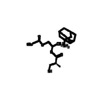 C[C@H](CS)C(=O)OC(COC(=O)C(C)(C)C)C(=O)O.NC12CC3CC(CC(C3)C1)C2